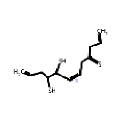 C=CCC(=S)C/C=C\C(S)C(S)CC=C